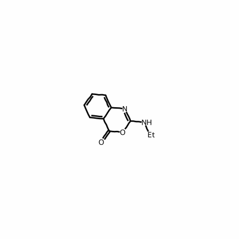 CCNc1nc2ccccc2c(=O)o1